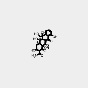 NC(=O)C1C(=O)[C@@]2(O)C(O)=C3C(=O)c4c(O)cccc4C(O)(CO)[C@H]3[C@H](O)[C@H]2CC1O